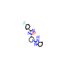 Fc1ccc(-c2noc([C@H]3CCCN(c4nc5ccccc5[nH]4)C3)n2)cc1